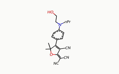 CCCN(CCO)c1ccc(C2=C(C#N)C(=C(C#N)C#N)OC2(C)C)cc1